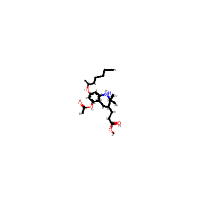 CCCCCC(C)Oc1cc2c(c(OC(C)=O)c1)CC(CCC(=O)OC)C(C)(C)N2